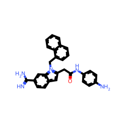 N=C(N)c1ccc2cc(CC(=O)Nc3ccc(N)cc3)n(Cc3cccc4ccccc34)c2c1